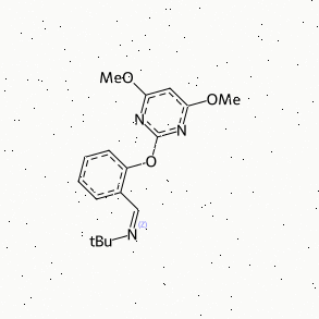 COc1cc(OC)nc(Oc2ccccc2/C=N\C(C)(C)C)n1